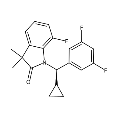 CC1(C)C(=O)N([C@@H](c2cc(F)cc(F)c2)C2CC2)c2c(F)cccc21